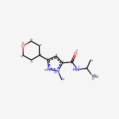 CC(NC(=O)c1cc(C2CCOCC2)nn1C)C(C)(C)C